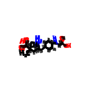 CC(C)(C[C@H](N)Cc1ccc(NCC(=O)O)cc1)C(=O)O